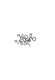 CC1=C(C(N)=O)C(=O)N2C(=C(C(=O)Nc3ccccc3)CCC2C)N1